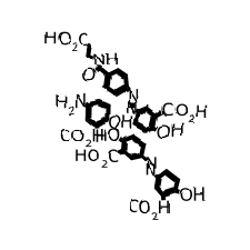 Nc1ccc(O)c(C(=O)O)c1.O=C(O)CCNC(=O)c1ccc(/N=N/c2ccc(O)c(C(=O)O)c2)cc1.O=C(O)c1cc(/N=N/c2ccc(O)c(C(=O)O)c2)ccc1O